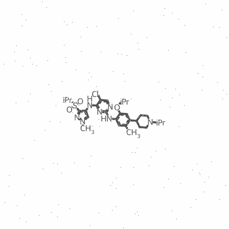 Cc1cc(Nc2ncc(Cl)c(Nc3cn(C)nc3S(=O)(=O)C(C)C)n2)c(OC(C)C)cc1C1CCN(C(C)C)CC1